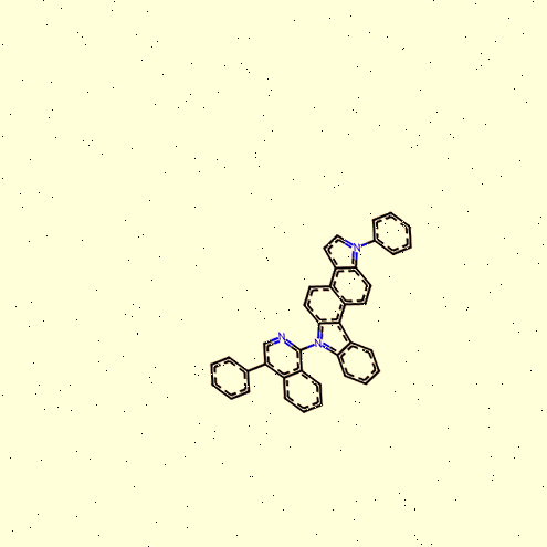 c1ccc(-c2cnc(-n3c4ccccc4c4c5ccc6c(ccn6-c6ccccc6)c5ccc43)c3ccccc23)cc1